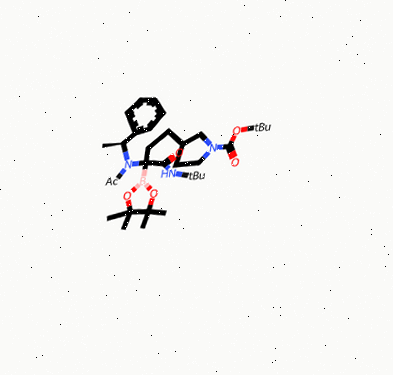 CC(=O)N([C@@H](C)c1ccccc1)C(CCC1CCN(C(=O)OC(C)(C)C)C1)(B1OC(C)(C)C(C)(C)O1)C(=O)NC(C)(C)C